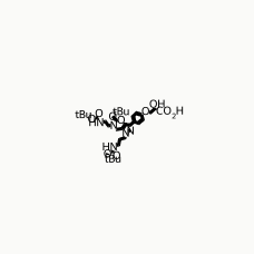 CC(C)(C)OC(=O)NCCCn1nc(-c2ccc(OC[C@@H](O)C(=O)O)cc2)cc1CN(CCNC(=O)OC(C)(C)C)C(=O)OC(C)(C)C